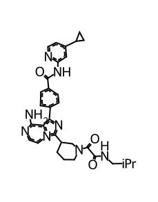 CC(C)CNC(=O)C(=O)N1CCCC(c2nc(-c3ccc(C(=O)Nc4cc(C5CC5)ccn4)cc3)c3c(N)nccn23)C1